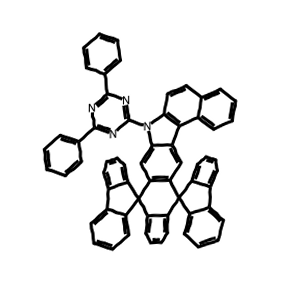 c1ccc(-c2nc(-c3ccccc3)nc(-n3c4cc5c(cc4c4c6ccccc6ccc43)C3(c4ccccc4-c4ccccc43)c3ccccc3C53c4ccccc4-c4ccccc43)n2)cc1